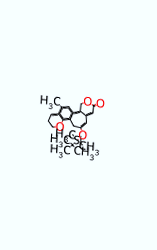 Cc1cc2c(c3c1=CCCO3)CC(O[Si](C)(C)C(C)(C)C)=CC1=CC(=O)OCC=21